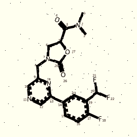 CN(C)C(=O)C1CN(Cc2cncc(-c3ccc(F)c(C(F)F)c3)n2)C(=O)O1